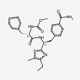 CCc1nc([C@H](Cc2ccc(C(N)=O)cc2)NC(=O)[C@H](Cc2ccccc2)NC(=O)OC)sc1C